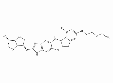 CCOCCOc1cc(F)c2c(c1)CCC2Nc1nc2nc(O[C@@H]3COC4C3OC[C@H]4O)[nH]c2cc1Cl